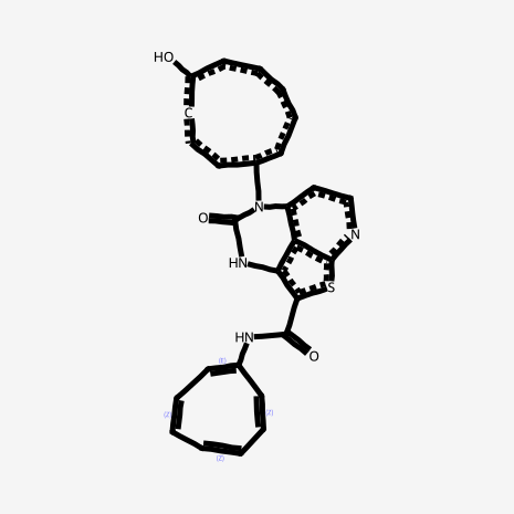 O=C(NC1=C/C=C\C=C/C=C\1)c1sc2nccc3c2c1NC(=O)N3c1cccccc(O)ccc1